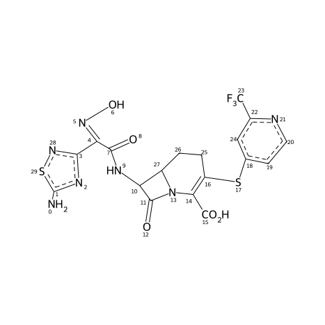 Nc1nc(/C(=N/O)C(=O)NC2C(=O)N3C(C(=O)O)=C(Sc4ccnc(C(F)(F)F)c4)CCC23)ns1